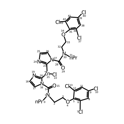 CCCN(CCOc1c(Cl)cc(Cl)cc1Cl)C(=O)n1ccn[c]1[Zn]([Cl])[c]1nccn1C(=O)N(CCC)CCOc1c(Cl)cc(Cl)cc1Cl